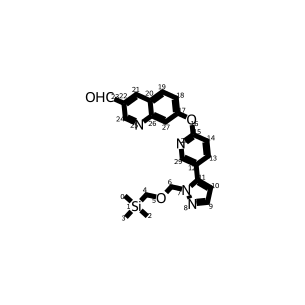 C[Si](C)(C)COCn1nccc1-c1ccc(Oc2ccc3cc(C=O)cnc3c2)nc1